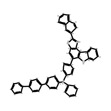 c1ccc(-c2ccc(-c3ccc(N(c4ccccc4)c4ccc(-c5cc6oc(-c7ccc8ccccc8c7)nc6c6c5oc5ccccc56)cc4)cc3)cc2)cc1